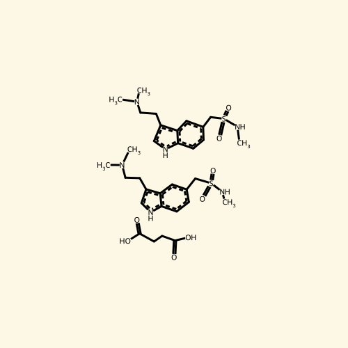 CNS(=O)(=O)Cc1ccc2[nH]cc(CCN(C)C)c2c1.CNS(=O)(=O)Cc1ccc2[nH]cc(CCN(C)C)c2c1.O=C(O)CCC(=O)O